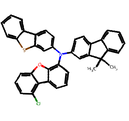 CC1(C)c2ccccc2-c2ccc(N(c3ccc4c(c3)sc3ccccc34)c3cccc4c3oc3cccc(Cl)c34)cc21